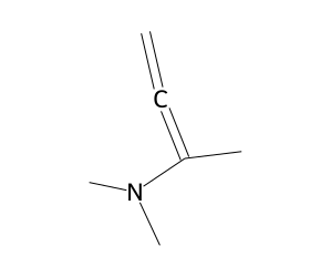 C=C=C(C)N(C)C